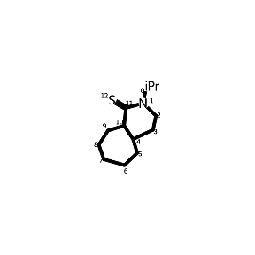 CC(C)N1CCC2CCCCCC2C1=S